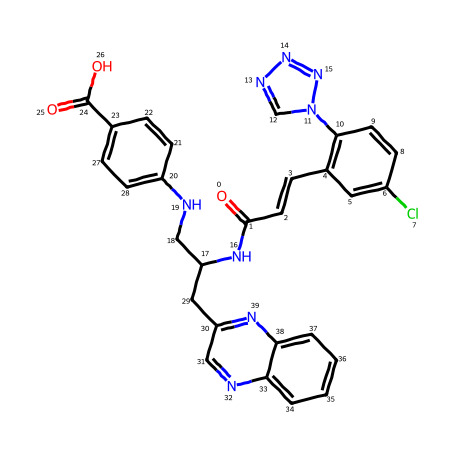 O=C(/C=C/c1cc(Cl)ccc1-n1cnnn1)NC(CNc1ccc(C(=O)O)cc1)Cc1cnc2ccccc2n1